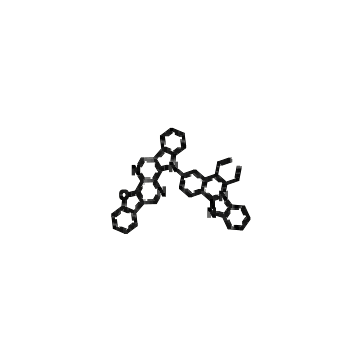 C=Cc1c(C=C)n2c3ccccc3nc2c2ccc(-n3c4ccccc4c4cnc5c(ncc6c7ccccc7oc65)c43)cc12